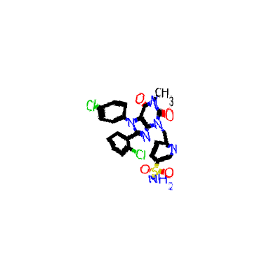 Cn1c(=O)c2c(nc(-c3ccccc3Cl)n2-c2ccc(Cl)cc2)n(Cc2ccc(S(N)(=O)=O)cn2)c1=O